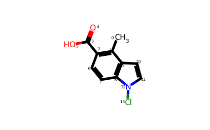 Cc1c(C(=O)O)ccc2c1ccn2Cl